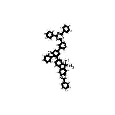 CC1(C)c2cc(-c3cc(-c4cccc(-c5nc(-c6ccccc6)nc(-c6ccccc6)n5)c4)cc4oc5ccccc5c34)ccc2-c2cc3nc(-c4ccccc4)sc3cc21